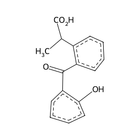 CC(C(=O)O)c1ccccc1C(=O)c1ccccc1O